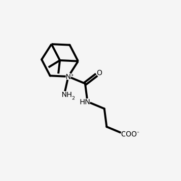 CC1(C)C2CC[N+](N)(C(=O)NCCC(=O)[O-])C1C2